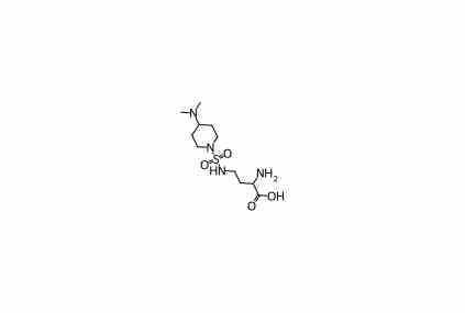 CN(C)C1CCN(S(=O)(=O)NCCC(N)C(=O)O)CC1